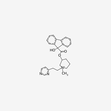 C[N+]1(CCc2ccncn2)CCCC(OC(=O)C2(O)c3ccccc3-c3ccccc32)C1